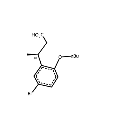 CCCCOc1ccc(Br)cc1[C@@H](C)CC(=O)O